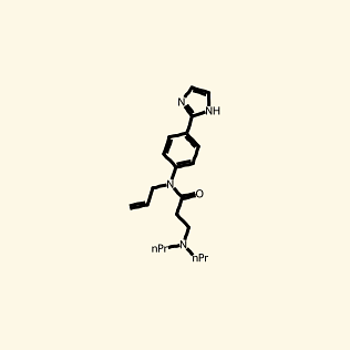 C=CCN(C(=O)CCN(CCC)CCC)c1ccc(-c2ncc[nH]2)cc1